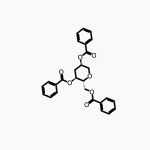 O=C(OC[C@H]1OC[C@H](OC(=O)c2ccccc2)C[C@@H]1OC(=O)c1ccccc1)c1ccccc1